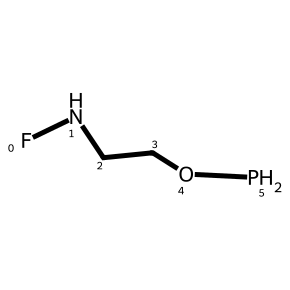 FNCCOP